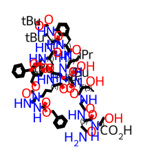 CC[C@H](C)[C@H](NC(=O)[C@@H](CCCN(C(=N)NC(=O)OCc1ccccc1)C(=O)OCc1ccccc1)NC(=O)[C@H](CC(C)C)NC(=O)[C@@H](NC(=O)[C@H](Cc1cccc(NC(=O)OC(C)(C)C)c1)NC(=O)[C@H](CC(C)(C)C)NC(=O)[C@@H](CC(C)(C)C)NC(=O)OCc1ccccc1)C(O)C(C)C)C(=O)N[C@H](C(=O)NCC(=O)N[C@@H](CC(N)=O)C(=O)N[C@@H](CO)C(=O)O)[C@H](C)O